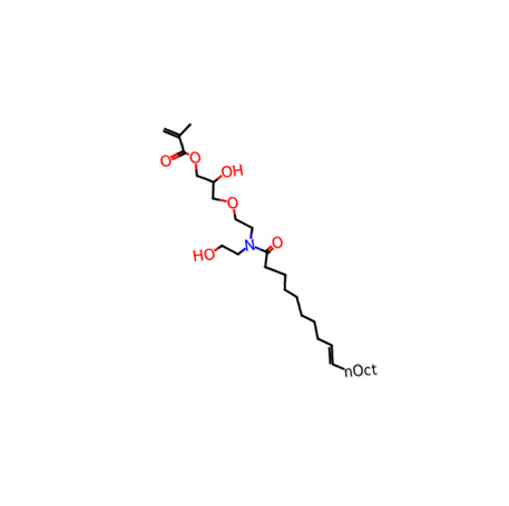 C=C(C)C(=O)OCC(O)COCCN(CCO)C(=O)CCCCCCCC=CCCCCCCCC